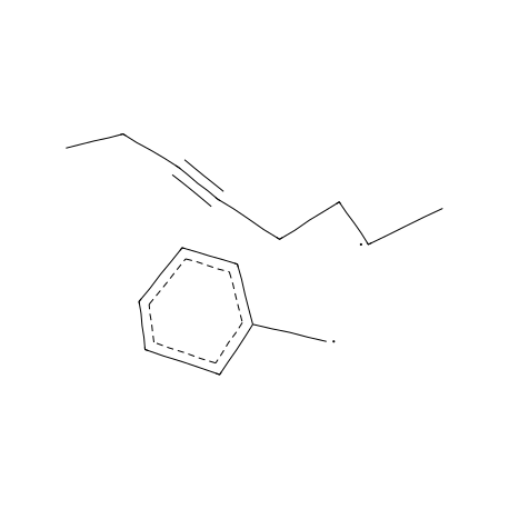 C[CH]CCC#CCC.[CH2]c1ccccc1